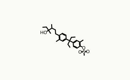 CCC(CC)(c1ccc(CCC(C)C(C)(O)CC)c(C)c1)c1ccc(OS(C)(=O)=O)c(C)c1